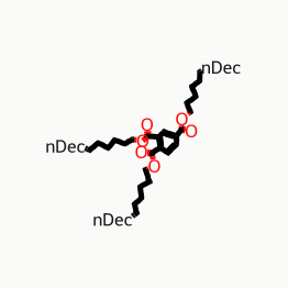 CCCCCCCCCCCCCCCCOC(=O)c1ccc(C(=O)OCCCCCCCCCCCCCCCC)c(C(=O)OCCCCCCCCCCCCCCCC)c1